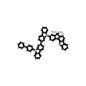 CC1(C)c2cc(-n3c4ccccc4c4ccc(-c5ccc6c7ccccc7n(-c7ccc(-c8ccccc8)cc7)c6c5)cc43)ccc2-c2c1ccc1c2sc2ccccc21